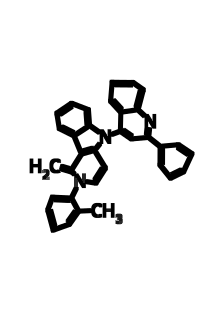 C=C1c2c(n(-c3cc(-c4ccccc4)nc4ccccc34)c3ccccc23)C=CN1c1ccccc1C